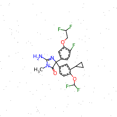 CN1C(=O)C(c2ccc(F)c(OCC(F)F)c2)(c2ccc(OC(F)F)c(C3CC3)c2)N=C1N